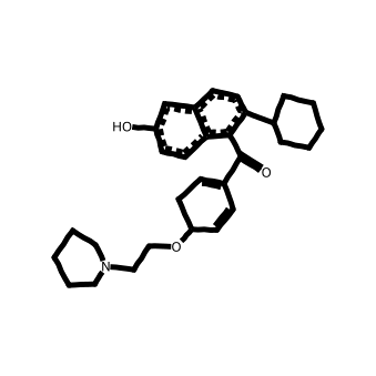 O=C(C1=CCC(OCCN2CCCCC2)C=C1)c1c(C2CCCCC2)ccc2cc(O)ccc12